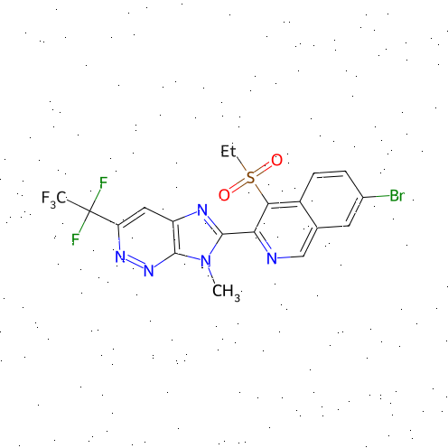 CCS(=O)(=O)c1c(-c2nc3cc(C(F)(F)C(F)(F)F)nnc3n2C)ncc2cc(Br)ccc12